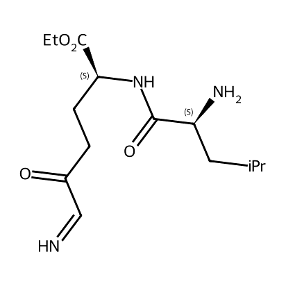 CCOC(=O)[C@H](CCC(=O)C=N)NC(=O)[C@@H](N)CC(C)C